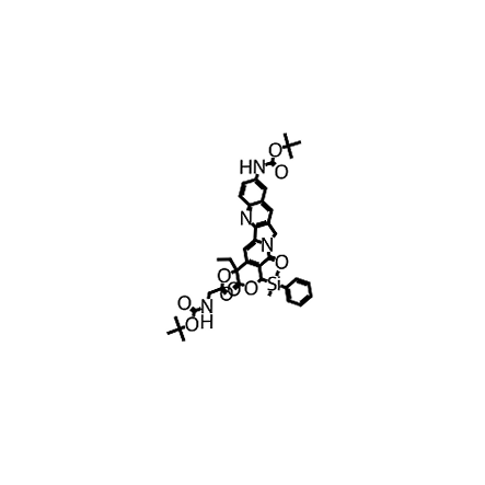 CCC1(OC(=O)CNC(=O)OC(C)(C)C)C(=O)OC([Si](C)(C)c2ccccc2)c2c1cc1n(c2=O)Cc2cc3cc(NC(=O)OC(C)(C)C)ccc3nc2-1